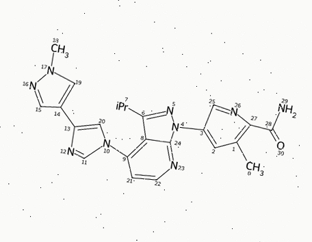 Cc1cc(-n2nc(C(C)C)c3c(-n4cnc(-c5cnn(C)c5)c4)ccnc32)cnc1C(N)=O